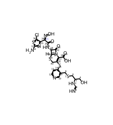 N=CNC(CO)CSCc1cnccc1SC1=C(C(=O)O)N2C(=O)[C@@H](NC(=O)/C(=N\O)c3nc(N)sc3Cl)[C@@H]2SC1